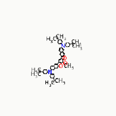 COc1c2oc3cc4cc(N(c5ccc(C(C)C)cc5)c5ccc(C(C)C)cc5)ccc4cc3c2cc2c1oc1cc3cc(N(c4ccc(C(C)C)cc4)c4ccc(C(C)C)cc4)ccc3cc12